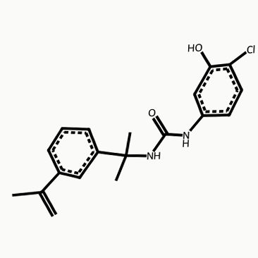 C=C(C)c1cccc(C(C)(C)NC(=O)Nc2ccc(Cl)c(O)c2)c1